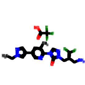 CCn1cc(-c2cnc(-n3cnn(CC(CN)=C(F)F)c3=O)c(C)c2)cn1.O=C(O)C(F)(F)F